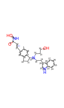 O=C(/C=C/c1ccc2c(c1)CCC2N(CCCO)CCc1c[nH]c2ccccc12)NO